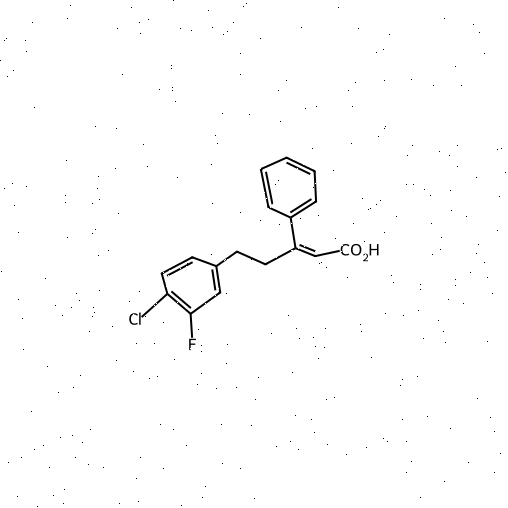 O=C(O)/C=C(/CCc1ccc(Cl)c(F)c1)c1ccccc1